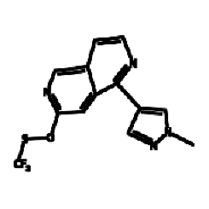 Cn1cc(-c2nccc3cnc(OSC(F)(F)F)cc23)cn1